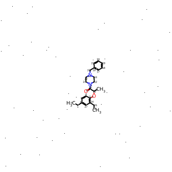 CCc1ccc(OC(C)C(=O)N2CCN(Cc3ccccc3)CC2)c(CC)c1